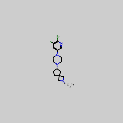 CCOC(=O)N1CC2(CC[C@@H](N3CCN(c4cnc(Br)c(F)c4)CC3)C2)C1